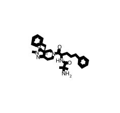 CN1N=C2CCN(C(=O)C(CCCc3ccccc3)NC(=O)C(C)(C)N)C[C@@]2(Cc2ccccc2)C1=O